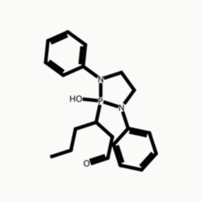 CCCC(CC=O)[P]1(O)N(c2ccccc2)CCN1c1ccccc1